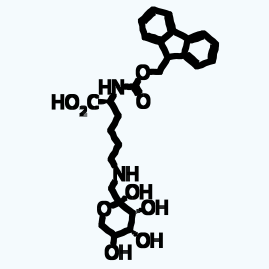 O=C(N[C@@H](CCCCNC[C@@]1(O)OCC(O)[C@@H](O)[C@H]1O)C(=O)O)OCC1c2ccccc2-c2ccccc21